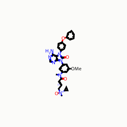 COc1cc(N(C)C(=O)/C=C/C[N+](C)([O-])C2CC2)cc(-n2c(=O)n(-c3ccc(Oc4ccccc4)cc3)c3c(N)ncnc32)c1